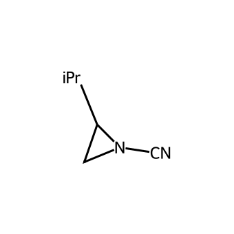 CC(C)C1CN1C#N